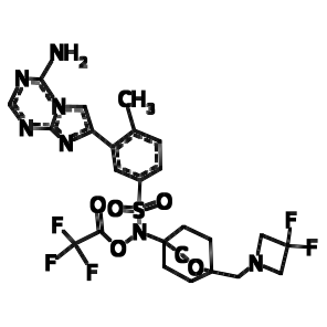 Cc1ccc(S(=O)(=O)N(OC(=O)C(F)(F)F)C23CCC(CN4CC(F)(F)C4)(CC2)OC3)cc1-c1cn2c(N)ncnc2n1